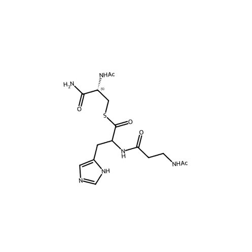 CC(=O)NCCC(=O)NC(Cc1cnc[nH]1)C(=O)SC[C@@H](NC(C)=O)C(N)=O